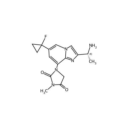 C[C@@H](N)c1cn2cc(C3(F)CC3)cc(N3CC(=O)N(C)C3=O)c2n1